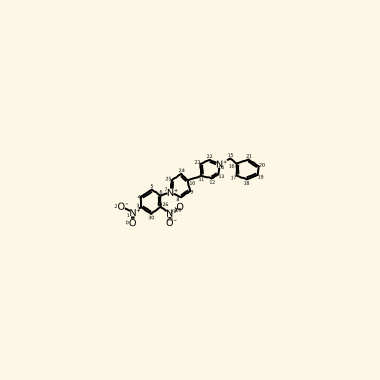 O=[N+]([O-])c1ccc(-[n+]2ccc(-c3cc[n+](Cc4ccccc4)cc3)cc2)c([N+](=O)[O-])c1